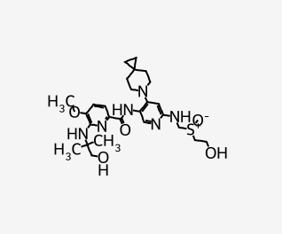 COc1ccc(C(=O)Nc2cnc(NC[S+]([O-])CCO)cc2N2CCC3(CC2)CC3)nc1NC(C)(C)CO